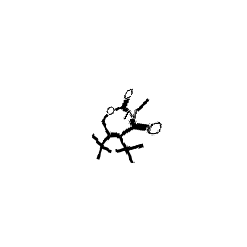 CN1C(=O)OCC(C(C)(C)C)=C(C(C)(C)C)C1=O